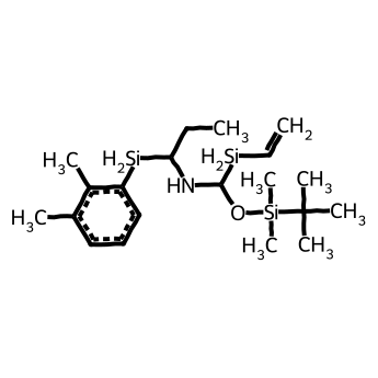 C=C[SiH2]C(NC(CC)[SiH2]c1cccc(C)c1C)O[Si](C)(C)C(C)(C)C